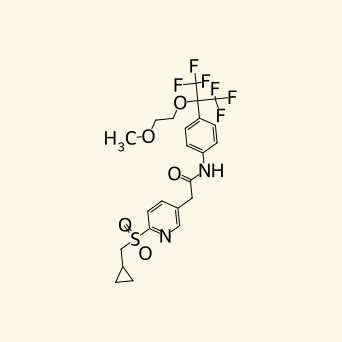 COCCOC(c1ccc(NC(=O)Cc2ccc(S(=O)(=O)CC3CC3)nc2)cc1)(C(F)(F)F)C(F)(F)F